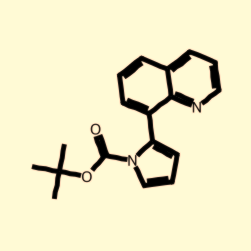 CC(C)(C)OC(=O)n1cccc1-c1cccc2cccnc12